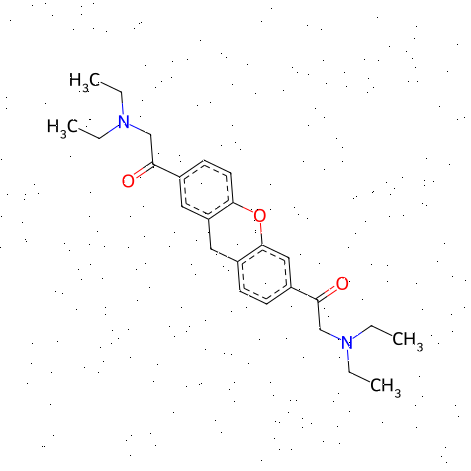 CCN(CC)CC(=O)c1ccc2c(c1)Cc1ccc(C(=O)CN(CC)CC)cc1O2